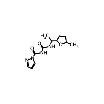 CC1CCC(C(C)NC(=O)NC(=O)n2c[c]cn2)O1